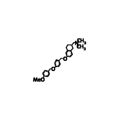 COc1ccc(COc2ccc(COc3ccc4c(c3)CCC(CN(C)C)C4)cc2)cc1